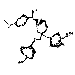 COc1ccc(C(=O)N2CCC(COc3ccc(Br)cc3)(c3ccnc(Br)c3)C2)cc1